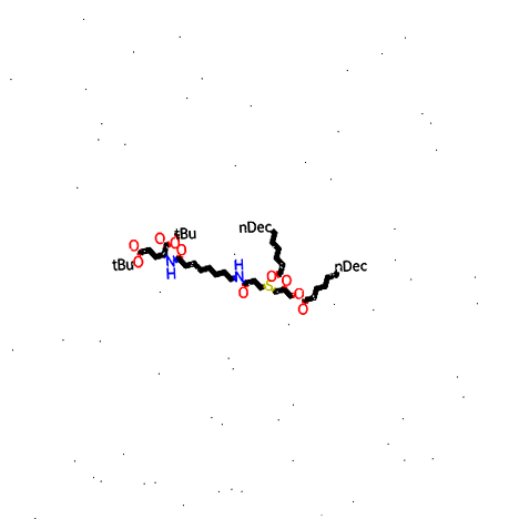 CCCCCCCCCCCCCCCC(=O)OCC(CSCCC(=O)NCCCCCCCC(=O)NC(CCC(=O)OC(C)(C)C)C(=O)OC(C)(C)C)OC(=O)CCCCCCCCCCCCCCC